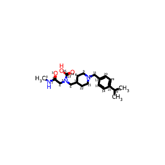 CNC(=O)CN(CC1CCN(Cc2ccc(C(C)C)cc2)CC1)C(=O)O